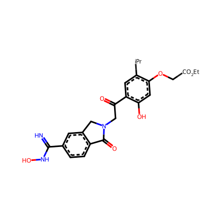 CCOC(=O)COc1cc(O)c(C(=O)CN2Cc3cc(C(=N)NO)ccc3C2=O)cc1C(C)C